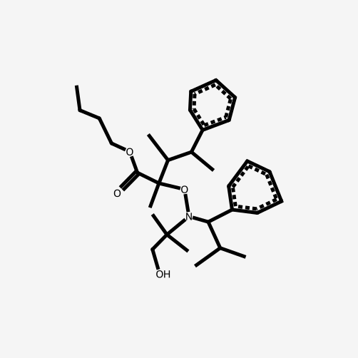 CCCCOC(=O)C(C)(ON(C(c1ccccc1)C(C)C)C(C)(C)CO)C(C)C(C)c1ccccc1